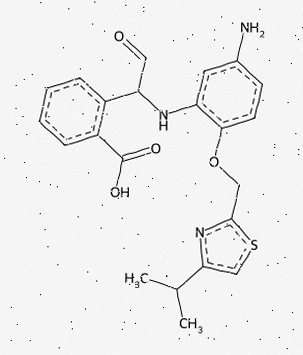 CC(C)c1csc(COc2ccc(N)cc2NC(C=O)c2ccccc2C(=O)O)n1